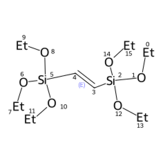 CCO[Si](/C=C/[Si](OCC)(OCC)OCC)(OCC)OCC